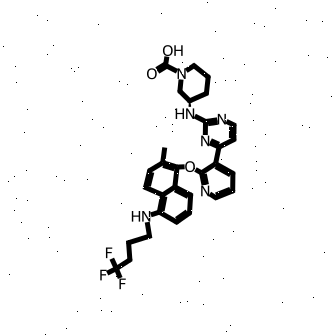 Cc1ccc2c(NCCCC(F)(F)F)cccc2c1Oc1ncccc1-c1ccnc(N[C@H]2CCCN(C(=O)O)C2)n1